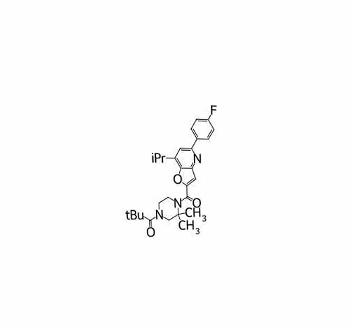 CC(C)c1cc(-c2ccc(F)cc2)nc2cc(C(=O)N3CCN(C(=O)C(C)(C)C)CC3(C)C)oc12